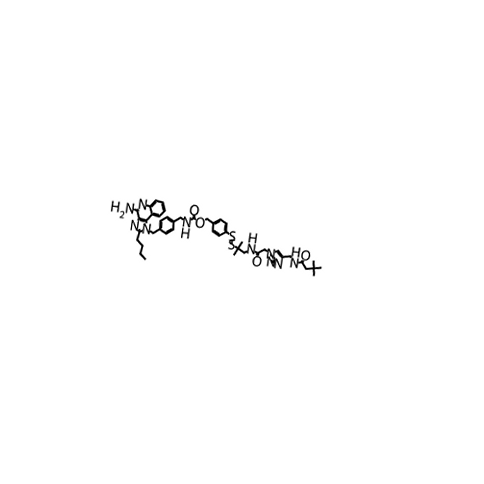 CCCCc1nc2c(N)nc3ccccc3c2n1Cc1ccc(CNC(=O)OCc2ccc(SSC(C)(C)CNC(=O)Cn3cc(CNC(=O)CC(C)(C)C)nn3)cc2)cc1